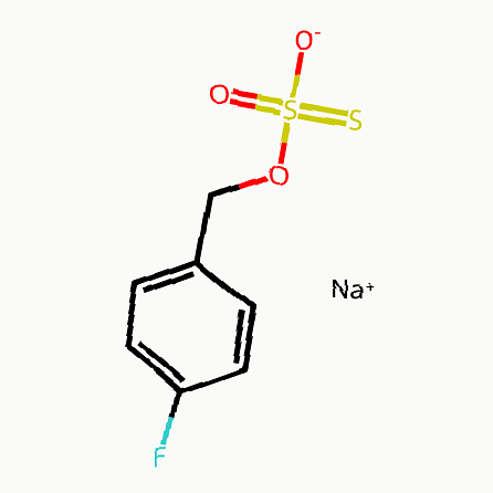 O=S([O-])(=S)OCc1ccc(F)cc1.[Na+]